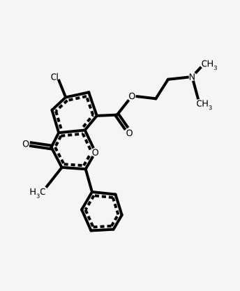 Cc1c(-c2ccccc2)oc2c(C(=O)OCCN(C)C)cc(Cl)cc2c1=O